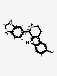 Fc1ccc2[nH]c3c(c2c1)CCNC3c1ccc2c(c1)OCO2